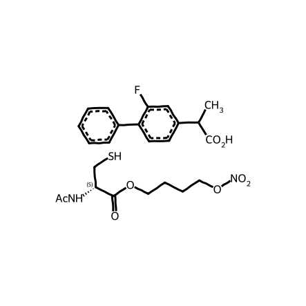 CC(=O)N[C@H](CS)C(=O)OCCCCO[N+](=O)[O-].CC(C(=O)O)c1ccc(-c2ccccc2)c(F)c1